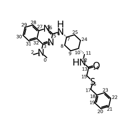 CN(C)c1nc(N[C@H]2CC[C@@H](CNC(=O)CSCc3ccccc3)CC2)nc2ccccc12